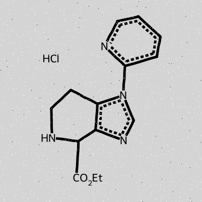 CCOC(=O)C1NCCc2c1ncn2-c1ccccn1.Cl